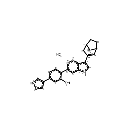 Cl.Oc1cc(-c2cn[nH]c2)ccc1-c1cc2[nH]cc(C3=CC4CCC(C3)N4)c2nn1